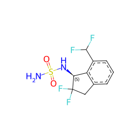 NS(=O)(=O)N[C@H]1c2c(cccc2C(F)F)CC1(F)F